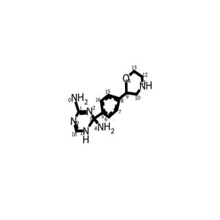 NC1=NC(N)(c2ccc(C3CNCCO3)cc2)NC=N1